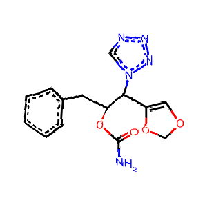 NC(=O)OC(Cc1ccccc1)C(C1=COCO1)n1cnnn1